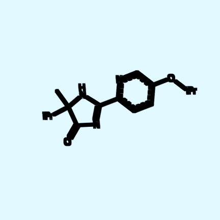 CC(C)Oc1ccc(C2=NC(=O)C(C)(C(C)C)N2)nc1